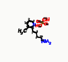 Cc1cccnc1CCCCN.O=S(=O)(O)O